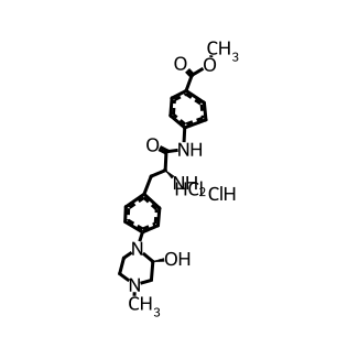 COC(=O)c1ccc(NC(=O)[C@@H](N)Cc2ccc(N3CCN(C)C[C@@H]3O)cc2)cc1.Cl.Cl